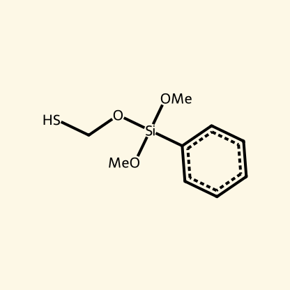 CO[Si](OC)(OCS)c1ccccc1